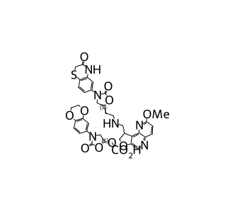 COc1ccc2ncc3c(c2n1)C(CNCC[C@H]1CN(c2ccc4c(c2)NC(=O)CS4)C(=O)O1)CO3.O=C(O)O[C@H]1CN(c2ccc3c(c2)OCCO3)C(=O)O1